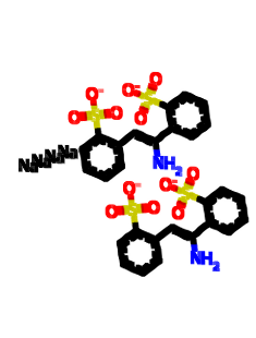 NC(=Cc1ccccc1S(=O)(=O)[O-])c1ccccc1S(=O)(=O)[O-].NC(=Cc1ccccc1S(=O)(=O)[O-])c1ccccc1S(=O)(=O)[O-].[Na+].[Na+].[Na+].[Na+]